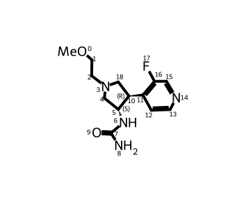 COCCN1C[C@@H](NC(N)=O)[C@H](c2ccncc2F)C1